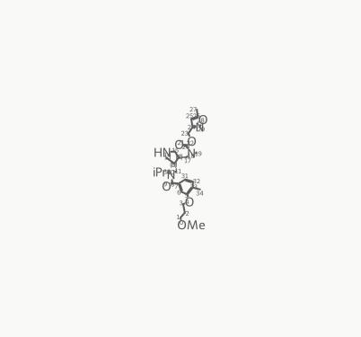 COCCCOc1cc(C(=O)N(C[C@@H]2CNC[C@H]2CN(C)C(=O)OCc2cc(C)on2)C(C)C)ccc1C